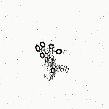 CC(C)(C)OC(=O)NC(N)(C(=O)NC1C(=O)N2C(C(=O)OC(c3ccccc3)c3ccccc3)=C(C[P+](c3ccccc3)(c3ccccc3)c3ccccc3)CS[C@@H]12)c1ccc2nc(N)sc2c1.[I-]